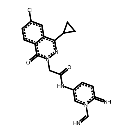 N=Cn1cc(NC(=O)Cn2nc(C3CC3)c3cc(Cl)ccc3c2=O)ccc1=N